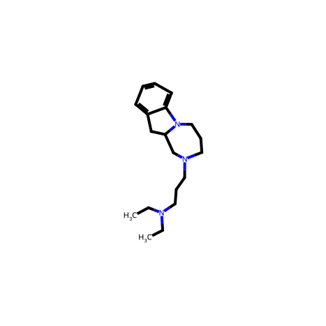 CCN(CC)CCCN1CCCN2c3ccccc3CC2C1